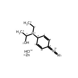 CCN(C(C)O)C1C=CC(=[N+]=[N-])C=C1.Cl.[Zn]